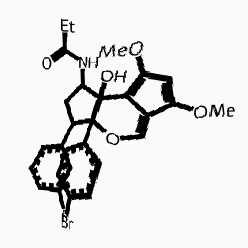 CCC(=O)NC1CC(c2cccc(F)c2)C2(c3ccc(Br)cc3)OC=C3C(OC)=CC(OC)=C3C12O